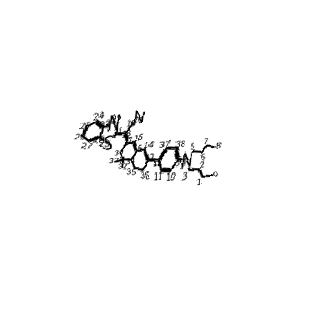 CCCCN(CCCC)c1ccc(C2=CC3=C/C(=C(\C#N)c4nc5ccccc5s4)CC(C)(C)C3CC2)cc1